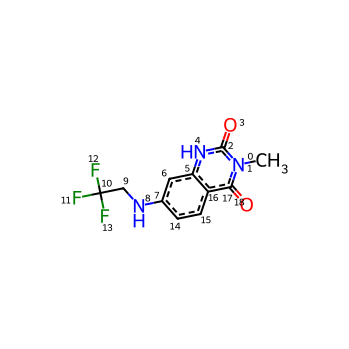 Cn1c(=O)[nH]c2cc(NCC(F)(F)F)ccc2c1=O